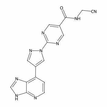 N#CCNC(=O)c1cnc(-n2cc(-c3ccnc4[nH]cnc34)cn2)nc1